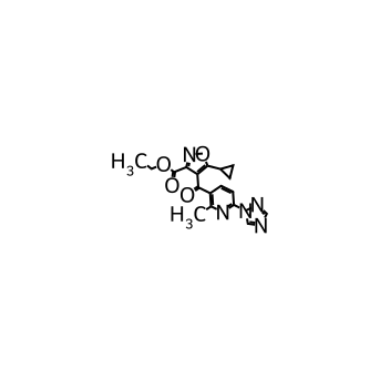 CCOC(=O)c1noc(C2CC2)c1C(=O)c1ccc(-n2cncn2)nc1C